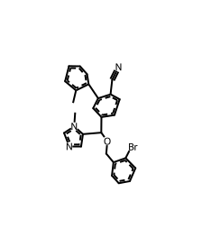 Cc1ccccc1-c1cc(C(OCc2ccccc2Br)c2cncn2C)ccc1C#N